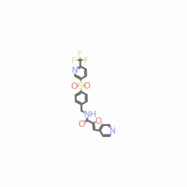 O=C(NCc1ccc(S(=O)(=O)c2ccc(C(F)(F)F)nc2)cc1)c1cc2ccncc2o1